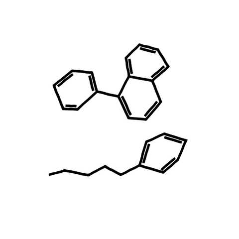 CCCCCc1ccccc1.c1ccc(-c2cccc3ccccc23)cc1